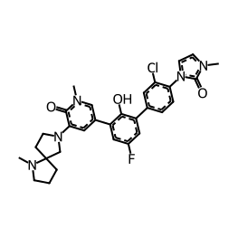 CN1CCCC12CCN(c1cc(-c3cc(F)cc(-c4ccc(-n5ccn(C)c5=O)c(Cl)c4)c3O)cn(C)c1=O)C2